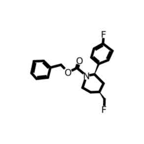 O=C(OCc1ccccc1)N1CC[C@H](CF)C[C@@H]1c1ccc(F)cc1